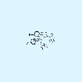 CCc1cccc(-c2c(F)cccc2C(O)(CCC(OC)OC)[C@H]2CN(C(=O)OC(C)(C)C)CCO2)c1